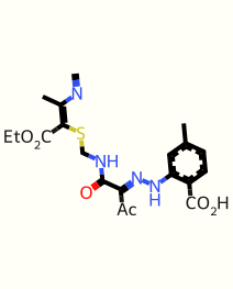 C=N/C(C)=C(\SCNC(=O)/C(=N/Nc1cc(C)ccc1C(=O)O)C(C)=O)C(=O)OCC